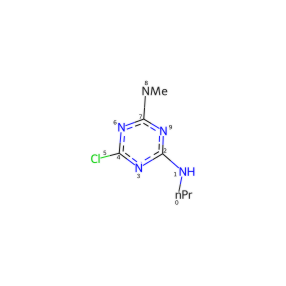 CCCNc1nc(Cl)nc(NC)n1